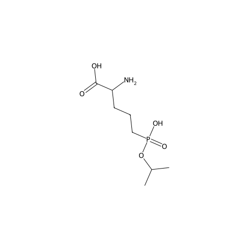 CC(C)OP(=O)(O)CCCC(N)C(=O)O